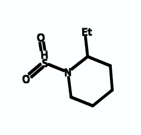 CCC1CCCCN1[SH](=O)=O